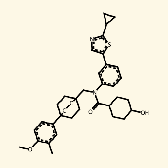 COc1ccc(C23CCC(CN(C(=O)C4CCC(O)CC4)c4cccc(-c5cnc(C6CC6)s5)c4)(CC2)CC3)cc1C